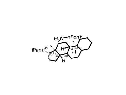 CCCCCN.CCC[C@@H](C)[C@H]1CC[C@H]2[C@@H]3CCC4CCCC[C@]4(C)[C@H]3CC[C@]12C